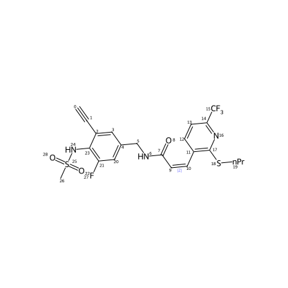 C#Cc1cc(CNC(=O)/C=C\c2ccc(C(F)(F)F)nc2SCCC)cc(F)c1NS(C)(=O)=O